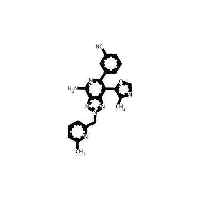 Cc1cccc(Cn2nc3c(N)nc(-c4cccc(C#N)c4)c(-c4ocnc4C)c3n2)n1